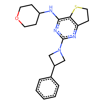 c1ccc(C2CN(c3nc4c(c(NC5CCOCC5)n3)SCC4)C2)cc1